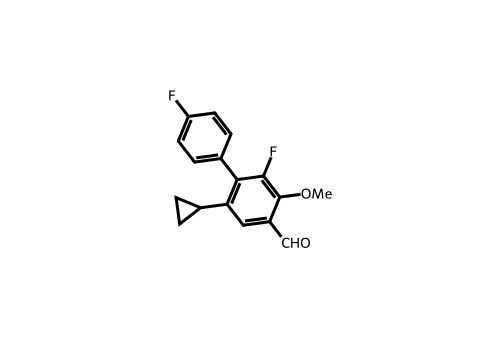 COc1c(C=O)cc(C2CC2)c(-c2ccc(F)cc2)c1F